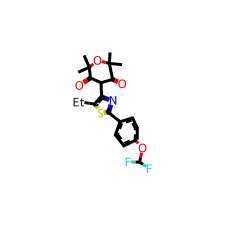 CCc1sc(-c2ccc(OC(F)F)cc2)nc1C1C(=O)C(C)(C)OC(C)(C)C1=O